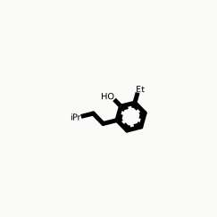 CCc1cccc(CCC(C)C)c1O